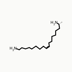 C[C@@H](N)CCCCCC/C=C\CCCCCCCCN